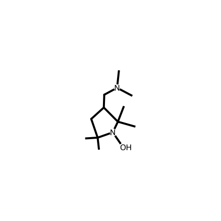 CN(C)CC1CC(C)(C)N(O)C1(C)C